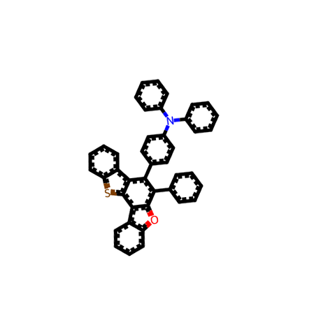 c1ccc(-c2c(-c3ccc(N(c4ccccc4)c4ccccc4)cc3)c3c4ccccc4sc3c3c2oc2ccccc23)cc1